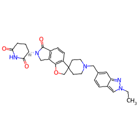 CCn1cc2ccc(CN3CCC4(CC3)COc3c4ccc4c3CN([C@H]3CCC(=O)NC3=O)C4=O)cc2n1